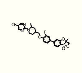 CC1CC(COc2ccc(-c3ccc4c(c3)OC(C)(F)S4(=O)=O)cc2F)CCN1c1ncc(Cl)cn1